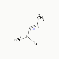 C/C=C/C(I)CCC